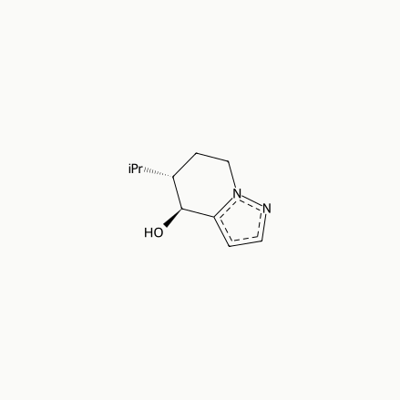 CC(C)[C@@H]1CCn2nccc2[C@H]1O